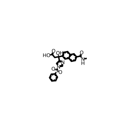 CNC(=O)c1ccc2cc([C@@](O)(CC(=O)O)c3cn(S(=O)(=O)c4ccccc4)cn3)ccc2c1